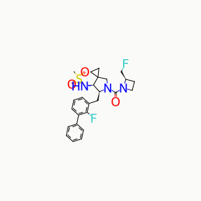 CS(=O)(=O)N[C@@H]1[C@H](Cc2cccc(-c3ccccc3)c2F)N(C(=O)N2CC[C@@H]2CF)CC12CC2